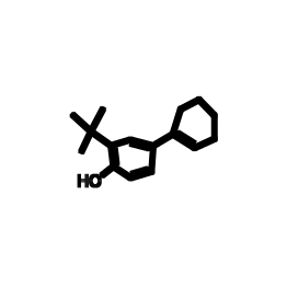 CC(C)(C)c1cc(C2=CCCCC2)ccc1O